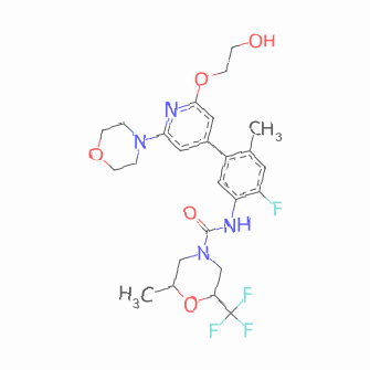 Cc1cc(F)c(NC(=O)N2CC(C)OC(C(F)(F)F)C2)cc1-c1cc(OCCO)nc(N2CCOCC2)c1